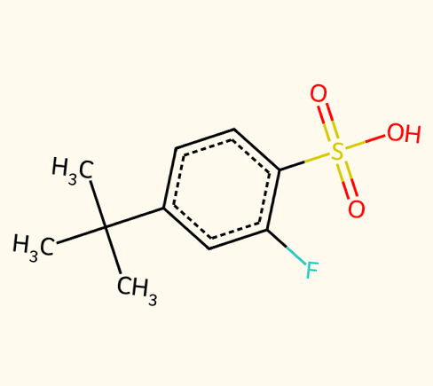 CC(C)(C)c1ccc(S(=O)(=O)O)c(F)c1